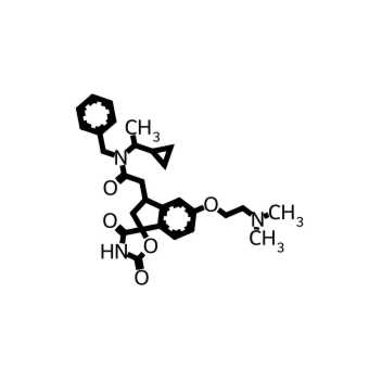 CC(C1CC1)N(Cc1ccccc1)C(=O)CC1CC2(OC(=O)NC2=O)c2ccc(OCCN(C)C)cc21